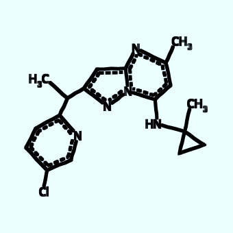 Cc1cc(NC2(C)CC2)n2nc(C(C)c3ccc(Cl)cn3)cc2n1